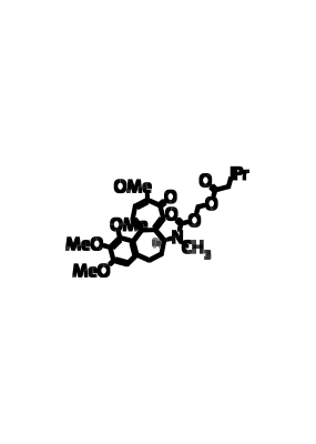 COc1cc2c(c(OC)c1OC)-c1ccc(OC)c(=O)cc1[C@@H](N(C)C(=O)OCOC(=O)CC(C)C)CC2